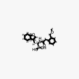 COCc1ccccc1CC(=O)N[C@@H](Cc1coc2ccccc12)B(O)O